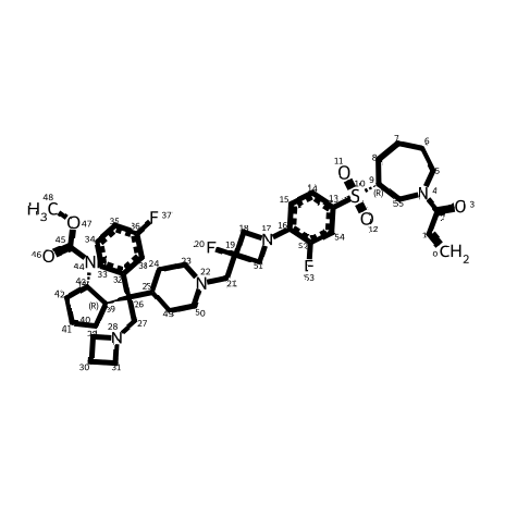 C=CC(=O)N1CCCC[C@@H](S(=O)(=O)c2ccc(N3CC(F)(CN4CCC(C(CN5CCC5)(c5cccc(F)c5)[C@H]5CCC[C@@H]5NC(=O)OC)CC4)C3)c(F)c2)C1